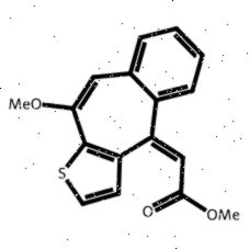 COC(=O)C=C1c2ccccc2C=C(OC)c2sccc21